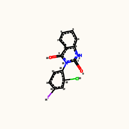 O=c1[nH]c2ccccc2c(=O)n1-c1ccc(I)cc1Cl